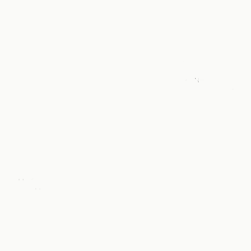 O=CCC[C@@H](C=O)NC(=O)CCCCCCCCCCCCCCCCCCC(=O)O